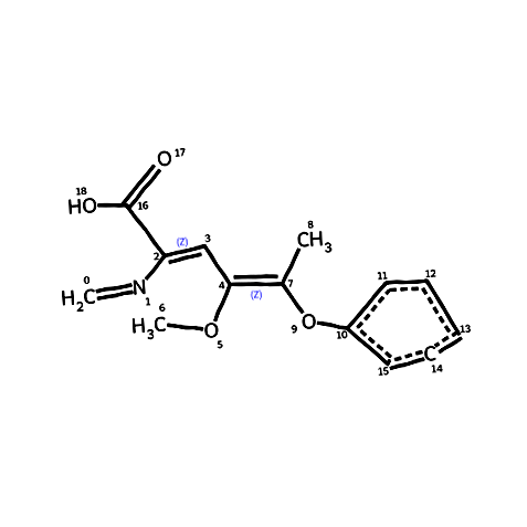 C=N/C(=C\C(OC)=C(/C)Oc1ccccc1)C(=O)O